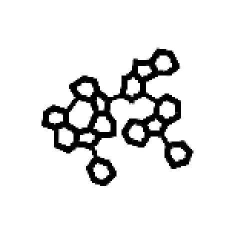 c1ccc(-n2c3ccccc3c3c(-c4nc(-n5c6cccc7c6c6c8c9c%10c-7cccc%10ccc9n(-c7ccccc7)c8ccc65)nc5sc6ccccc6c45)cccc32)cc1